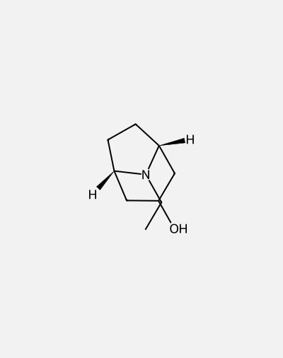 CCN1[C@@H]2CC[C@H]1CC(O)C2